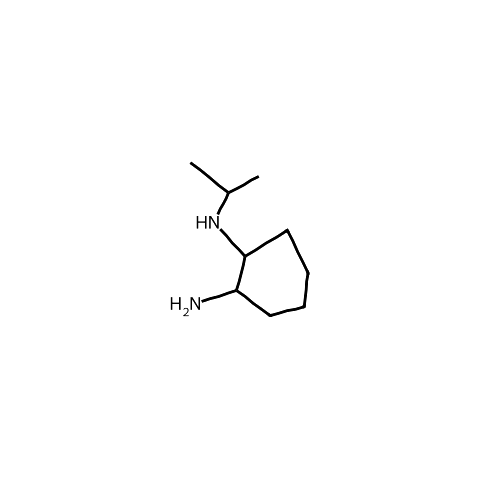 CC(C)NC1CCCCC1N